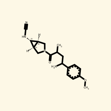 COc1ccc(C(N)CC(C)C(=O)N2C[C@@H]3[C@H](C2)[C@H]3NC#N)cc1